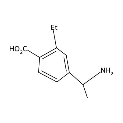 CCc1cc(C(C)N)ccc1C(=O)O